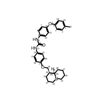 Cc1ccc(Oc2ccc(NC(=O)Nc3ccc(OC[C@@H]4CCCN5CCCC[C@H]45)cc3)cc2)cc1